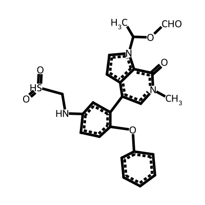 CC(OC=O)n1ccc2c(-c3cc(NC[SH](=O)=O)ccc3Oc3ccccc3)cn(C)c(=O)c21